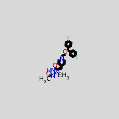 CC(=O)/N=C1\NC(=O)/C(=C\C2CCN(CCOC(c3ccc(F)cc3)c3ccc(F)cc3)CC2)N1C